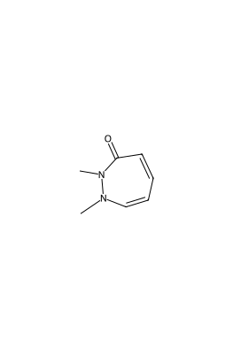 CN1C=CC=CC(=O)N1C